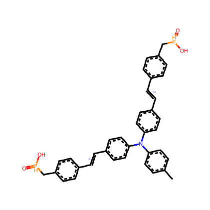 Cc1ccc(N(c2ccc(/C=C/c3ccc(C[PH](=O)O)cc3)cc2)c2ccc(/C=C/c3ccc(C[PH](=O)O)cc3)cc2)cc1